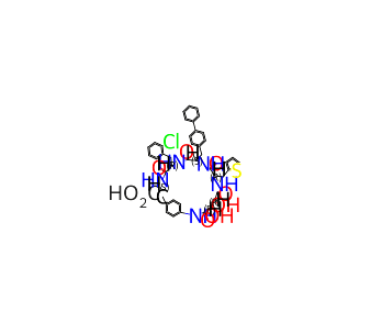 O=C(O)[C@@H]1Cc2ccc(cc2)NC(=O)[C@H](O)[C@@H](O)C(=O)N[C@H](Cc2cccs2)C(=O)N[C@@H](Cc2ccc(-c3ccccc3)cc2)C(=O)N[C@H](Cc2ccccc2Cl)C(=O)N1